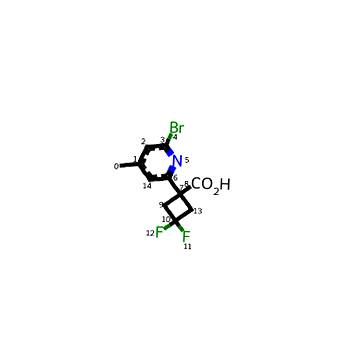 Cc1cc(Br)nc(C2(C(=O)O)CC(F)(F)C2)c1